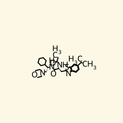 CCC(=O)N[C@@H](Cc1nc2ccc(C(C)C)cc2s1)C(=O)N[C@H](CN1CCOCC1)C1CCCCC1